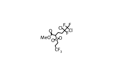 COC(=O)C(CCC(F)(Cl)C(F)(F)Cl)S(=O)(=O)CCC(F)(F)F